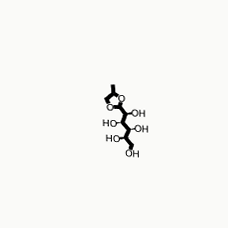 CC1COC([C@@H](O)[C@@H](O)[C@H](O)[C@H](O)CO)O1